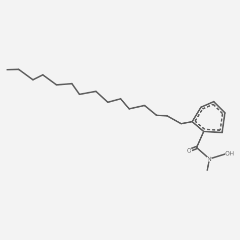 CCCCCCCCCCCCCCCc1ccccc1C(=O)N(C)O